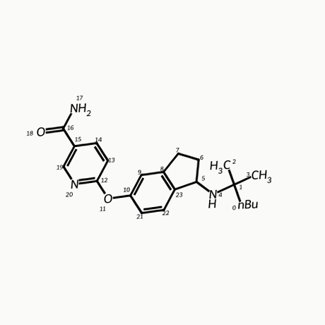 CCCCC(C)(C)NC1CCc2cc(Oc3ccc(C(N)=O)cn3)ccc21